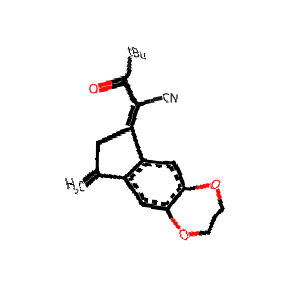 C=C1C/C(=C(/C#N)C(=O)C(C)(C)C)c2cc3c(cc21)OCCO3